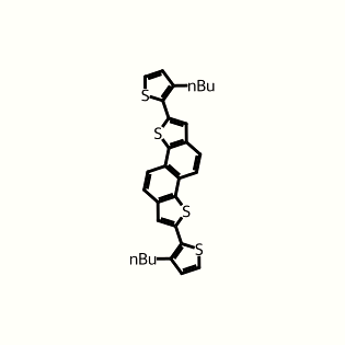 CCCCc1ccsc1-c1cc2ccc3c(ccc4cc(-c5sccc5CCCC)sc43)c2s1